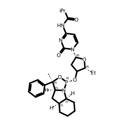 CC[C@H]1O[C@@H](n2ccc(NC(=O)C(C)C)nc2=O)CC1O[P@@]1O[C@](C)(c2ccccc2)[C@@H]2C[C@@H]3CCCC[C@@H]3N21